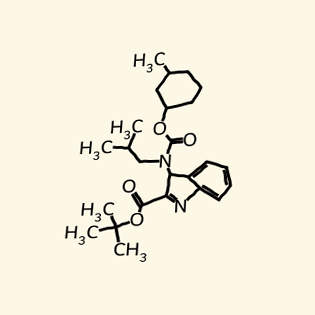 CC(C)CN(C(=O)OC1CCCC(C)C1)C1C(C(=O)OC(C)(C)C)=Nc2ccccc21